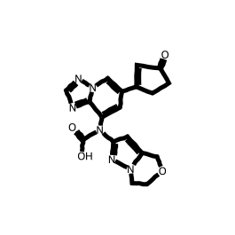 O=C1C=C(c2cc(N(C(=O)O)c3cc4n(n3)CCOC4)c3ncnn3c2)CC1